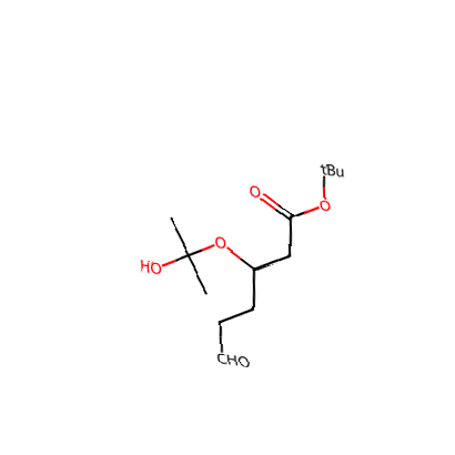 CC(C)(C)OC(=O)CC(CCC=O)OC(C)(C)O